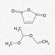 C=COC(C)OC.O=C1C=CC(=O)O1